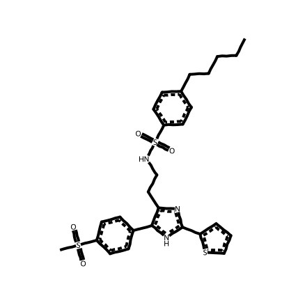 CCCCCc1ccc(S(=O)(=O)NCCc2nc(-c3cccs3)[nH]c2-c2ccc(S(C)(=O)=O)cc2)cc1